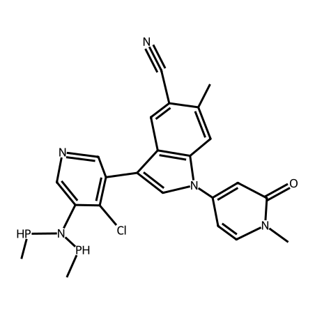 CPN(PC)c1cncc(-c2cn(-c3ccn(C)c(=O)c3)c3cc(C)c(C#N)cc23)c1Cl